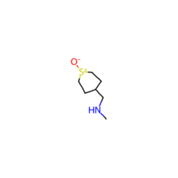 CNCC1CC[S+]([O-])CC1